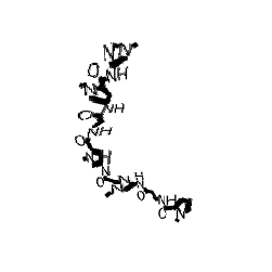 Cn1cnc(NC(=O)c2cc(NC(=O)CCNC(=O)c3cc(NC(=O)c4nc(NC(=O)CCNC(=O)c5cccn5C)cn4C)cn3C)cn2C)c1